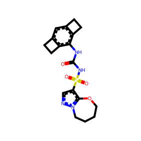 O=C(Nc1c2c(cc3c1CC3)CC2)NS(=O)(=O)c1cnn2c1OCCCC2